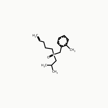 C=CCCCP(=O)(Cc1ccccc1C)CC(C)C